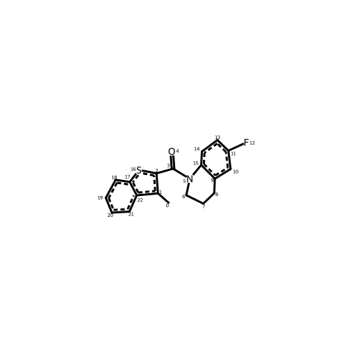 Cc1c(C(=O)N2CCCc3cc(F)ccc32)sc2ccccc12